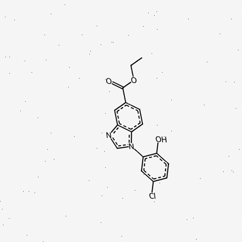 CCOC(=O)c1ccc2c(c1)ncn2-c1cc(Cl)ccc1O